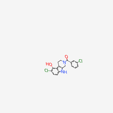 O=C(c1cccc(Cl)c1)N1CCc2c([nH]c3ccc(Cl)c(O)c23)C1